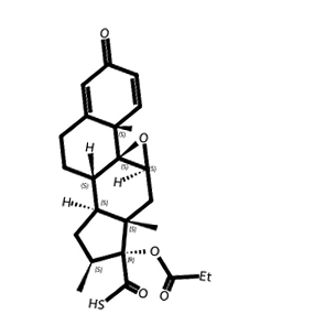 CCC(=O)O[C@]1(C(=O)S)[C@@H](C)C[C@H]2[C@@H]3CCC4=CC(=O)C=C[C@]4(C)[C@@]34O[C@H]4C[C@@]21C